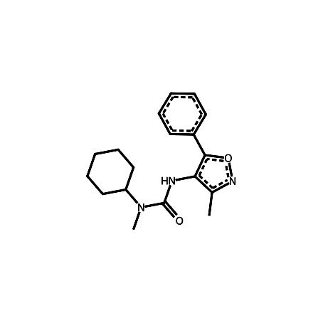 Cc1noc(-c2ccccc2)c1NC(=O)N(C)C1CCCCC1